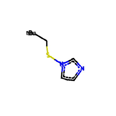 CCCCCSn1ccnc1